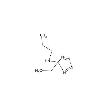 [CH2]CC1(NCCC)N=NN=N1